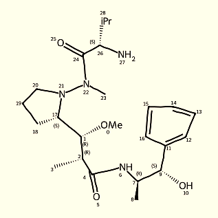 CO[C@H]([C@@H](C)C(=O)N[C@H](C)[C@@H](O)c1ccccc1)[C@@H]1CCCN1N(C)C(=O)[C@@H](N)C(C)C